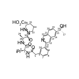 CC(C)[C@H](NC(=O)Cc1cccc(-c2cc3cc([C@@H](C)O)ccc3cn2)c1)C(=O)N[C@@H](C)C(=O)N1CCC[C@@H](C(=O)O)N1